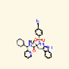 CC(Cc1c[nH]c2ccccc12)(NS(=O)(=O)c1ccc(C#N)cc1)C(=O)NC(c1ccccn1)C1CCCCC1